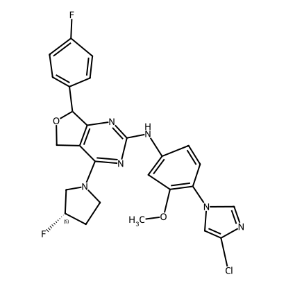 COc1cc(Nc2nc3c(c(N4CC[C@H](F)C4)n2)COC3c2ccc(F)cc2)ccc1-n1cnc(Cl)c1